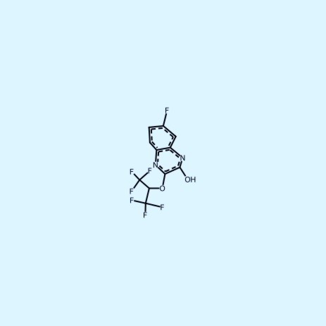 Oc1nc2cc(F)ccc2nc1OC(C(F)(F)F)C(F)(F)F